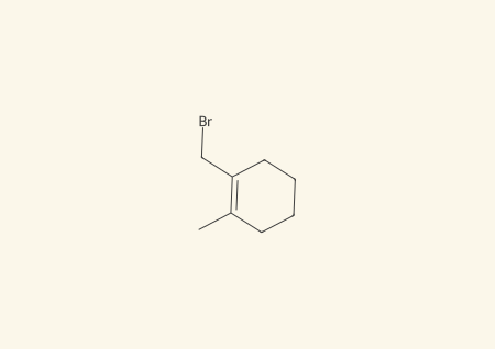 CC1=C(CBr)CCCC1